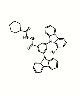 Cc1cccc2c3ccccc3n(-c3cc(C(=O)NNC(=O)C4CCCCC4)cc(-n4c5ccccc5c5ccccc54)c3)c12